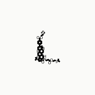 C=C(C)[C@@H]1CC[C@]2(C(=O)NCCC(=O)OCCSC(C)C)CC[C@]3(C)[C@H](CC[C@@H]4[C@@]5(C)CC=C(c6ccc(C(=O)OCC[Si](C)(C)C)cc6)C(C)(C)[C@@H]5CC[C@]43C)[C@@H]12